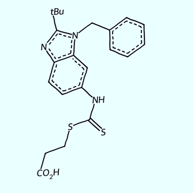 CC(C)(C)c1nc2ccc(NC(=S)SCCC(=O)O)cc2n1Cc1ccccc1